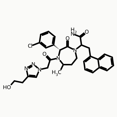 CC1CCN(C(Cc2cccc3ccccc23)C(N)=O)C(=O)[C@@H](c2cccc(Cl)c2)N1C(=O)Cn1cc(CCO)nn1